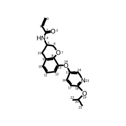 C=CC(=O)NC1COc2c(cccc2Oc2ccc(OC(C)C)nc2)C1